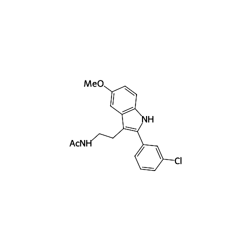 COc1ccc2[nH]c(-c3cccc(Cl)c3)c(CCNC(C)=O)c2c1